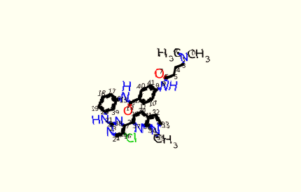 CN(C)CCCC(=O)Nc1ccc(C(=O)Nc2cccc(Nc3ncc(Cl)c(-c4ccc5ccn(C)c5n4)n3)c2)cc1